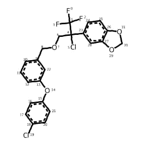 FC(F)(F)C(Cl)(COCc1cccc(Oc2ccc(Cl)cc2)c1)c1ccc2c(c1)OCO2